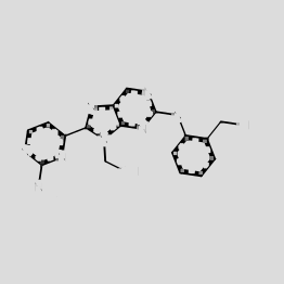 CCc1ccccc1Nc1ncc2nc(-c3ccnc(N)n3)n(CC)c2n1